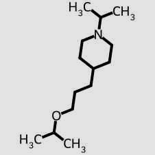 CC(C)OCCCC1CCN(C(C)C)CC1